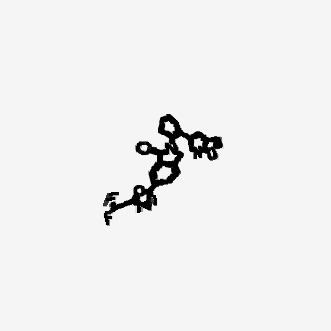 O=C1c2cc(-c3nnc(C(F)F)o3)ccc2CN1c1ccccc1-c1cnc2occc2c1